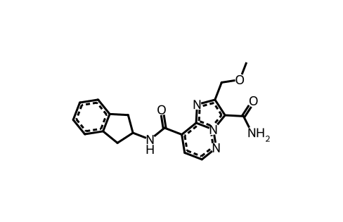 COCc1nc2c(C(=O)NC3Cc4ccccc4C3)ccnn2c1C(N)=O